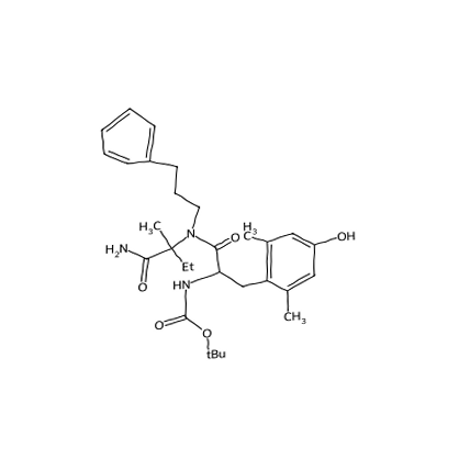 CCC(C)(C(N)=O)N(CCCc1ccccc1)C(=O)C(Cc1c(C)cc(O)cc1C)NC(=O)OC(C)(C)C